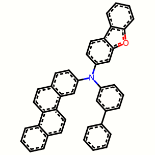 c1ccc(-c2cccc(N(c3ccc4c(c3)oc3ccccc34)c3ccc4ccc5c6ccccc6ccc5c4c3)c2)cc1